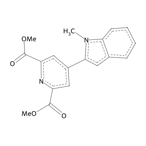 COC(=O)c1cc(-c2cc3ccccc3n2C)cc(C(=O)OC)n1